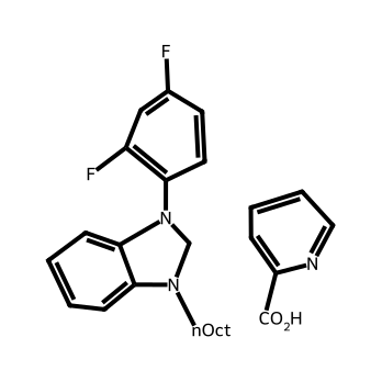 CCCCCCCCN1CN(c2ccc(F)cc2F)c2ccccc21.O=C(O)c1ccccn1